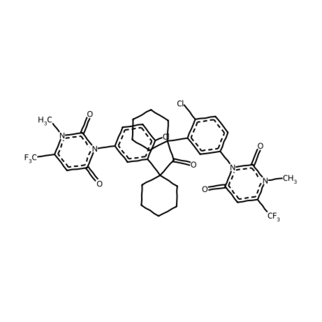 Cn1c(C(F)(F)F)cc(=O)n(-c2ccc(Cl)c(C3(C(=O)C4(c5cc(-n6c(=O)cc(C(F)(F)F)n(C)c6=O)ccc5Cl)CCCCC4)CCCCC3)c2)c1=O